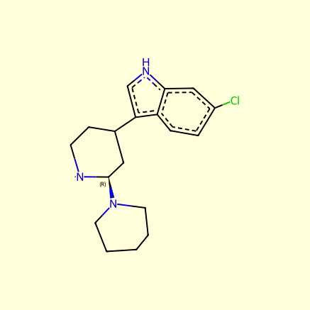 Clc1ccc2c(C3CC[N][C@H](N4CCCCC4)C3)c[nH]c2c1